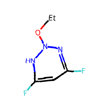 CCON1N=C(F)C=C(F)N1